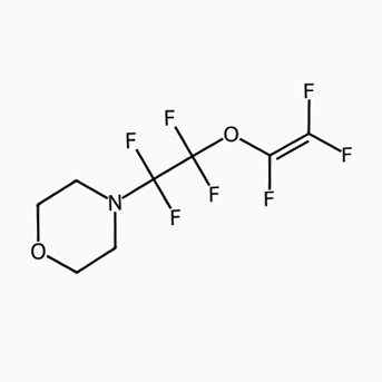 FC(F)=C(F)OC(F)(F)C(F)(F)N1CCOCC1